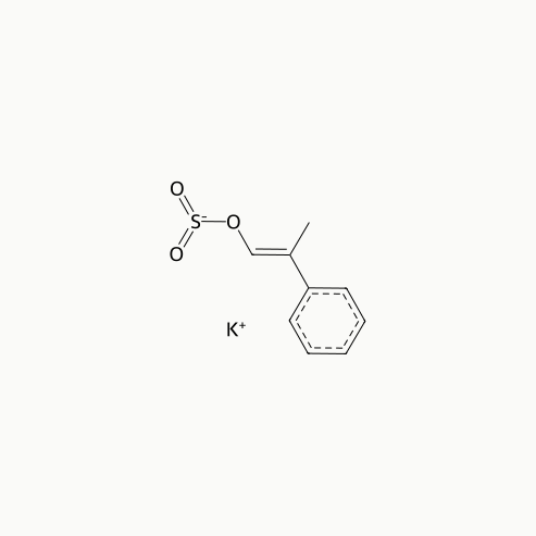 CC(=CO[S-](=O)=O)c1ccccc1.[K+]